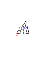 COc1ccc(C(=O)Nc2c(-c3ccccc3C)nc3c4ccccc4ccn23)cc1